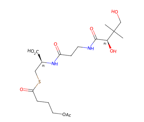 CC(=O)OCCCC(=O)SC[C@H](NC(=O)CCNC(=O)[C@H](O)C(C)(C)CO)C(=O)O